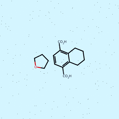 C1CCOC1.O=C(O)c1ccc(C(=O)O)c2c1CCCC2